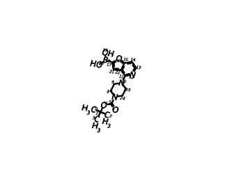 CC(C)(C)OC(=O)N1CCN(c2nccc3oc(B(O)O)cc23)CC1